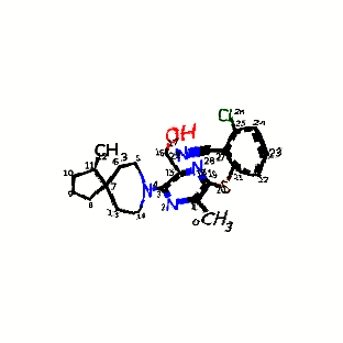 Cc1nc(N2CCC3(CCC[C@H]3C)CC2)c(CO)nc1Sc1cccc(Cl)c1C#N